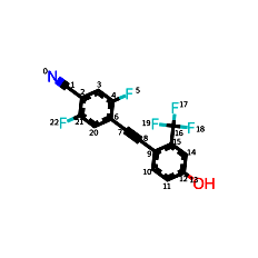 N#Cc1cc(F)c(C#Cc2ccc(O)cc2C(F)(F)F)cc1F